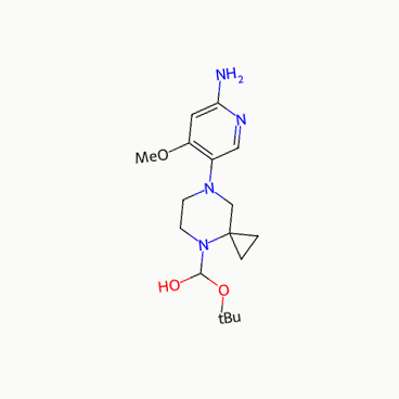 COc1cc(N)ncc1N1CCN(C(O)OC(C)(C)C)C2(CC2)C1